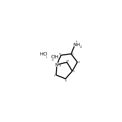 Cl.Cl.NC1CC2CCN(C1)C2